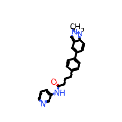 Cn1cc2cc(-c3ccc(CCCC(=O)Nc4cccnc4)cc3)ccc2n1